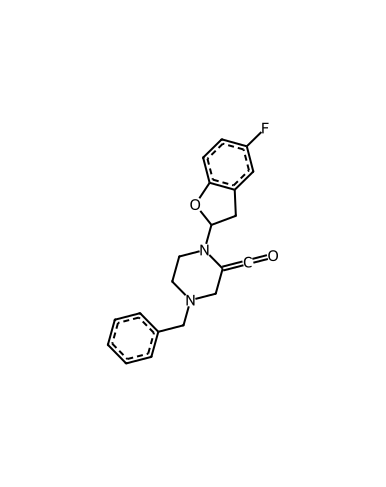 O=C=C1CN(Cc2ccccc2)CCN1C1Cc2cc(F)ccc2O1